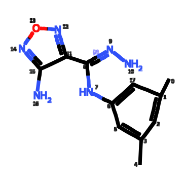 Cc1cc(C)cc(N/C(=N\N)c2nonc2N)c1